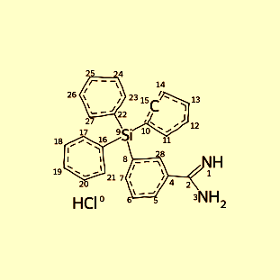 Cl.N=C(N)c1cccc([Si](c2ccccc2)(c2ccccc2)c2ccccc2)c1